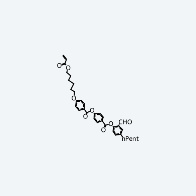 C=CC(=O)OCCCCCCOc1ccc(C(=O)Oc2ccc(C(=O)Oc3ccc(CCCCC)cc3C=O)cc2)cc1